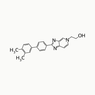 Cc1ccc(-c2ccc(-c3nc4ccn(CCO)cc-4n3)cc2)cc1C